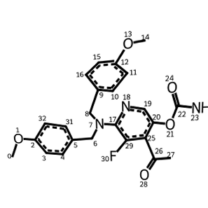 COc1ccc(CN(Cc2ccc(OC)cc2)c2ncc(OC(N)=O)c(C(C)=O)c2F)cc1